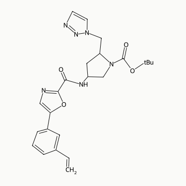 C=Cc1cccc(-c2cnc(C(=O)NC3CC(Cn4ccnn4)N(C(=O)OC(C)(C)C)C3)o2)c1